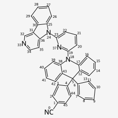 N#Cc1ccc(C2(c3ccccc3)c3ccccc3N(c3cccc(-n4c5ccccc5c5cnccc54)n3)c3ccccc32)cc1